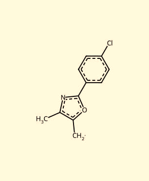 [CH2]c1oc(-c2ccc(Cl)cc2)nc1C